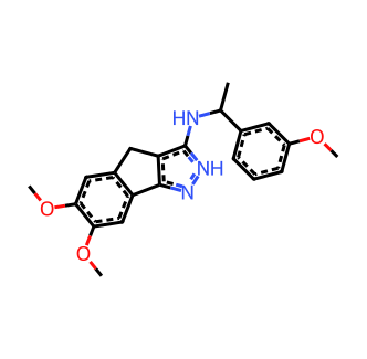 COc1cccc(C(C)Nc2[nH]nc3c2Cc2cc(OC)c(OC)cc2-3)c1